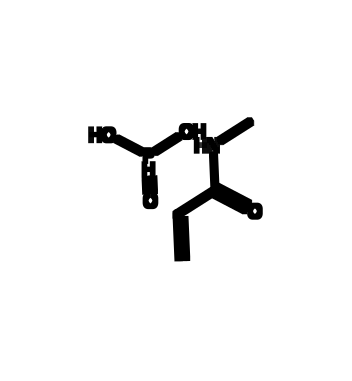 C=CC(=O)NC.O=[PH](O)O